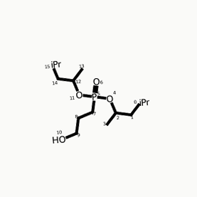 CC(C)CC(C)OP(=O)([CH]CCO)OC(C)CC(C)C